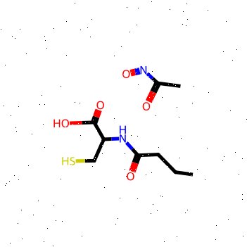 CC(=O)N=O.CCCC(=O)NC(CS)C(=O)O